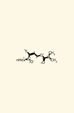 CCCCCC[S+]([O-])/C(F)=C\COC(=O)N(C)C